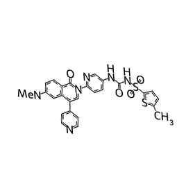 CNc1ccc2c(=O)n(-c3ccc(NC(=O)NS(=O)(=O)c4ccc(C)s4)cn3)cc(-c3ccncc3)c2c1